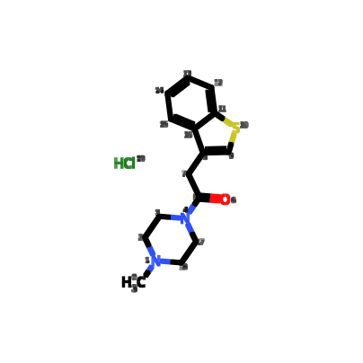 CN1CCN(C(=O)Cc2csc3ccccc23)CC1.Cl